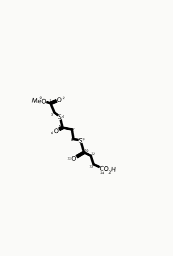 COC(=O)CSC(=O)CCSC(=O)CCC(=O)O